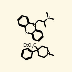 CC(CN1c2ccccc2Sc2ccccc21)N(C)C.CCOC(=O)C1(c2ccccc2)CCN(C)CC1